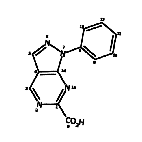 O=C(O)c1ncc2cnn(-c3ccccc3)c2n1